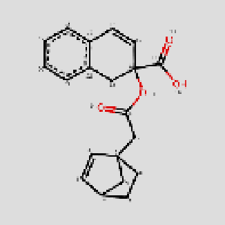 O=C(CC12C=CC(CC1)C2)OC1(C(=O)O)C=Cc2ccccc2C1